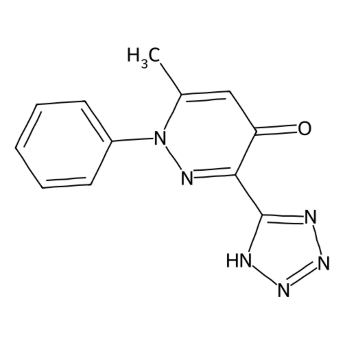 Cc1cc(=O)c(-c2nnn[nH]2)nn1-c1ccccc1